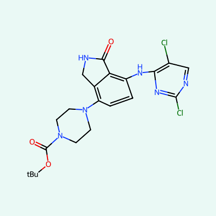 CC(C)(C)OC(=O)N1CCN(c2ccc(Nc3nc(Cl)ncc3Cl)c3c2CNC3=O)CC1